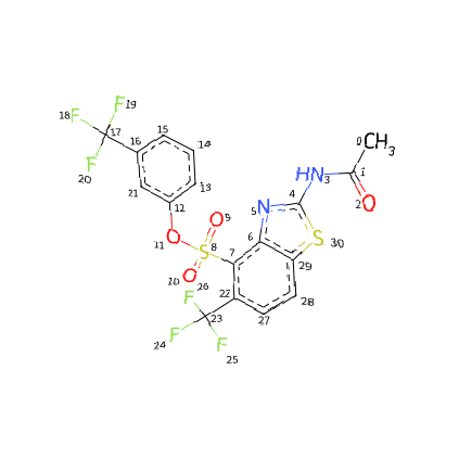 CC(=O)Nc1nc2c(S(=O)(=O)Oc3[c]ccc(C(F)(F)F)c3)c(C(F)(F)F)ccc2s1